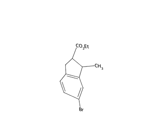 CCOC(=O)C1Cc2ccc(Br)cc2C1C